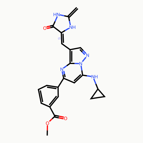 C=c1[nH]c(=O)/c(=C/c2cnn3c(NC4CC4)cc(-c4cccc(C(=O)OC)c4)nc23)[nH]1